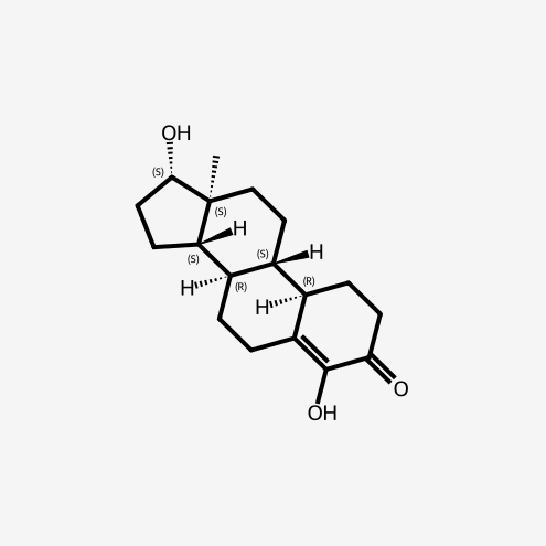 C[C@]12CC[C@H]3[C@@H](CCC4=C(O)C(=O)CC[C@@H]43)[C@@H]1CC[C@@H]2O